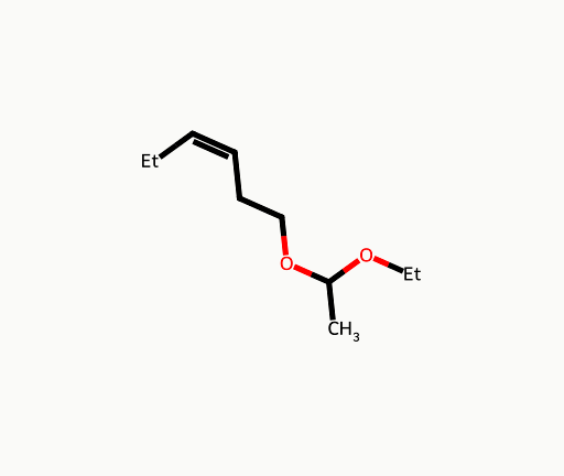 CC/C=C\CCOC(C)OCC